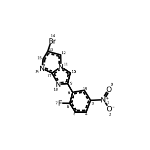 O=[N+]([O-])c1ccc(F)c(-c2cn3cc(Br)cnc3n2)c1